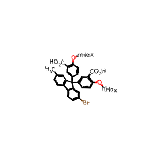 CCCCCCOc1ccc(C2(c3ccc(OCCCCCC)c(C(=O)O)c3)c3cc(C)ccc3-c3ccc(Br)cc32)cc1C(=O)O